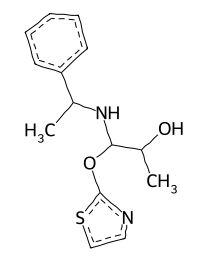 CC(NC(Oc1nccs1)C(C)O)c1ccccc1